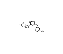 CNC(=O)Cn1ccc(-c2cc(Oc3cccc(N)c3)ncn2)n1